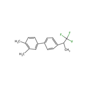 Cc1ccc(-c2ccc(C(C)C(F)(F)F)cc2)cc1C